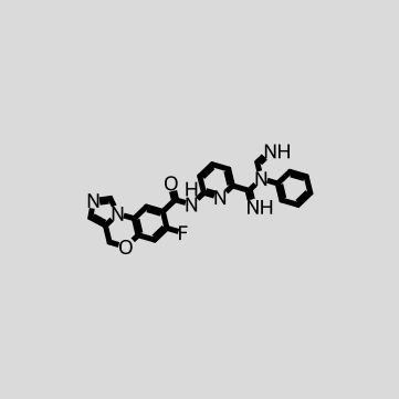 N=CN(C(=N)c1cccc(NC(=O)c2cc3c(cc2F)OCc2cncn2-3)n1)c1ccccc1